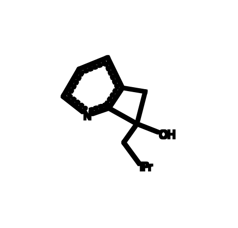 CC(C)CC1(O)Cc2cccnc21